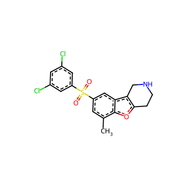 Cc1cc(S(=O)(=O)c2cc(Cl)cc(Cl)c2)cc2c3c(oc12)CCNC3